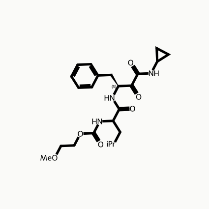 COCCOC(=O)NC(CC(C)C)C(=O)N[C@@H](Cc1ccccc1)C(=O)C(=O)NC1CC1